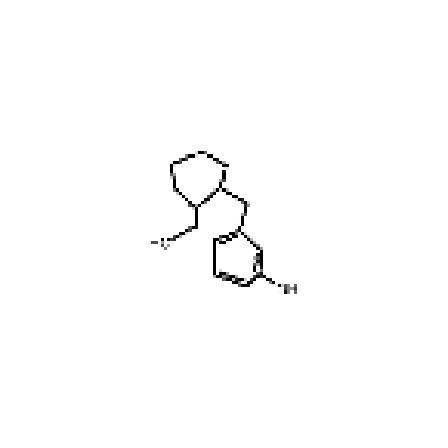 OCC1CCCCC1Cc1cccc(O)c1